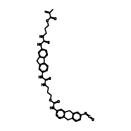 C=C(C)C(=O)OCCCNC(=S)Nc1ccc2c(c1)Cc1cc(NC(=S)NCCCOC(=O)Nc3ccc4c(c3)Cc3cc(N=C=O)ccc3C4)ccc1-2